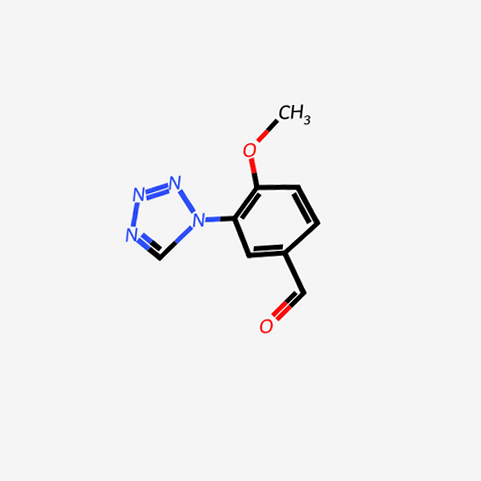 COc1ccc(C=O)cc1-n1cnnn1